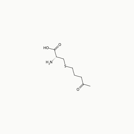 CC(=O)CCCSC[C@H](N)C(=O)O